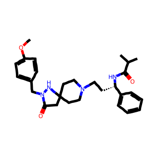 COc1ccc(CN2NC3(CCN(CC[C@H](NC(=O)C(C)C)c4ccccc4)CC3)CC2=O)cc1